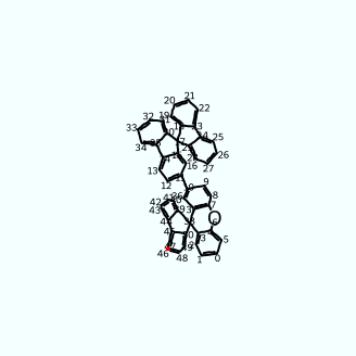 c1ccc2c(c1)Oc1ccc(-c3ccc4c(c3)C3(c5ccccc5-c5ccccc53)c3ccccc3-4)cc1C21c2ccccc2-c2ccccc21